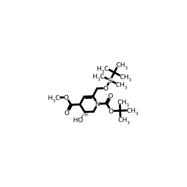 COC(=O)C1C=C(CO[Si](C)(C)C(C)(C)C)N(C(=O)OC(C)(C)C)C[C@@H]1O